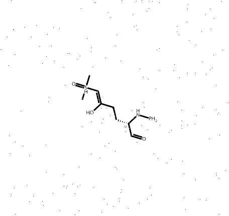 C[SH](C)(=O)/C=C(\O)CC[C@@H](C=O)NP